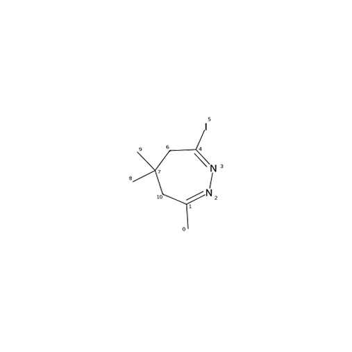 CC1=NN=C(I)CC(C)(C)C1